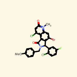 COc1ccc(CN2C(=O)c3c(c(Br)cc4c3c(Cl)cc(=O)n4C)C2c2cc(F)ccc2Cl)cc1